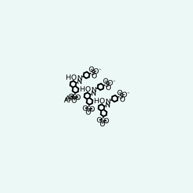 O=S(=O)([O-])c1ccc(N=Nc2c(O)ccc3cc(S(=O)(=O)[O-])ccc23)cc1.O=S(=O)([O-])c1ccc(N=Nc2c(O)ccc3cc(S(=O)(=O)[O-])ccc23)cc1.O=S(=O)([O-])c1ccc(N=Nc2c(O)ccc3cc(S(=O)(=O)[O-])ccc23)cc1.[Al+3].[Al+3]